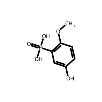 COc1ccc(O)cc1P(=O)(O)O